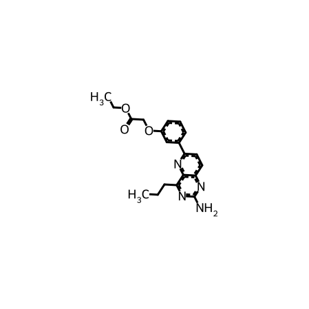 CCCc1nc(N)nc2ccc(-c3cccc(OCC(=O)OCC)c3)nc12